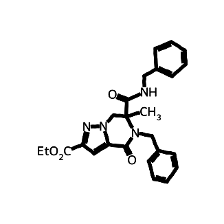 CCOC(=O)c1cc2n(n1)CC(C)(C(=O)NCc1ccccc1)N(Cc1ccccc1)C2=O